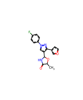 CC1OC(c2cn(-c3ccc(F)cc3)nc2-c2ccoc2)NC1=O